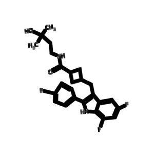 CC(C)(O)CCNC(=O)C1CC(Cc2c(-c3ccc(F)cc3)[nH]c3c(F)cc(F)cc23)C1